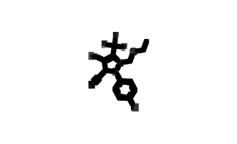 CCOCN1C(C(F)(F)F)=C(Br)C(C#N)N1c1ccc(Cl)cc1